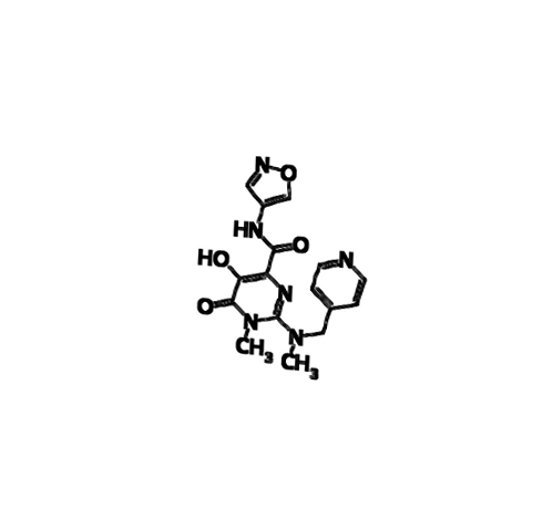 CN(Cc1ccncc1)c1nc(C(=O)Nc2cnoc2)c(O)c(=O)n1C